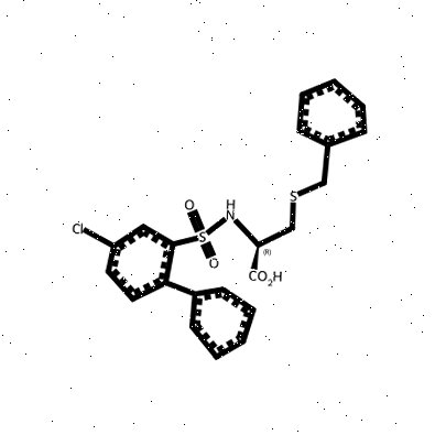 O=C(O)[C@H](CSCc1ccccc1)NS(=O)(=O)c1cc(Cl)ccc1-c1ccccc1